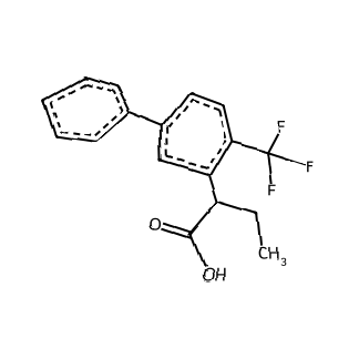 CCC(C(=O)O)c1cc(-c2ccccc2)ccc1C(F)(F)F